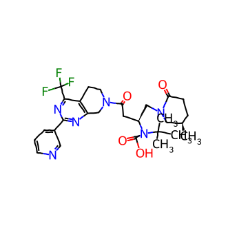 C[C@@H]1CCC(=O)N(C[C@H](CC(=O)N2CCc3c(nc(-c4cccnc4)nc3C(F)(F)F)C2)N(C(=O)O)C(C)(C)C)C1